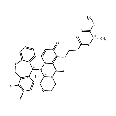 COC(=O)[C@H](C)OC(=O)OCOc1c2n(ccc1=O)N([C@@H]1c3ccccc3SCc3c1ccc(F)c3F)[C@@H]1COCCN1C2=O